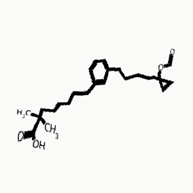 CC(C)(CCCCCCc1cccc(CCCCC2(OC=O)CC2)c1)C(=O)O